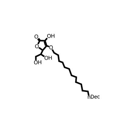 CCCCCCCCCCCCCCCCCCCCCCOC1=C(O)C(=O)OC1C(O)CO